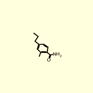 CCCc1ccc(C(N)=O)c(C)c1